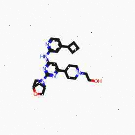 OCCN1CCC(c2cc(Nc3cc(C4CCC4)ccn3)nc(N3CC4CC3CO4)n2)CC1